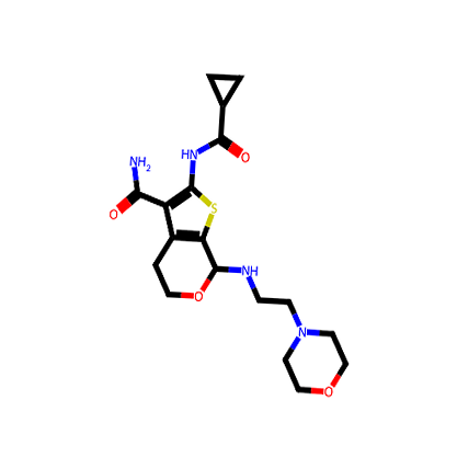 NC(=O)c1c(NC(=O)C2CC2)sc2c1CCOC2NCCN1CCOCC1